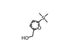 C[Si](C)(C)c1ccc(CO)o1